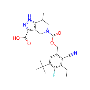 CCc1c(F)c(C(C)(C)C)cc(COC(=O)N2Cc3c(C(=O)O)n[nH]c3C(C)C2)c1C#N